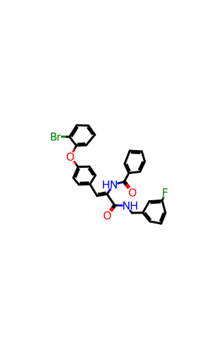 O=C(NCc1cccc(F)c1)C(=Cc1ccc(Oc2ccccc2Br)cc1)NC(=O)c1ccccc1